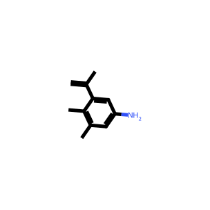 C=C(C)c1cc(N)cc(C)c1C